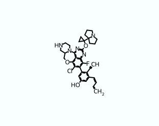 C#Cc1c(/C=C\C=C)cc(O)cc1-c1c(Cl)c2c3c(nc(OC4(C56CCCN5CCC6)CC4)nc3c1F)N1CCNCC1CO2